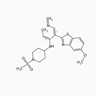 C=N/C=C(\C(=C/C)NC1CCN(S(C)(=O)=O)CC1)c1nc2cc(OC)ccc2s1